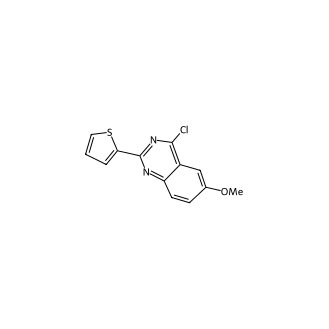 COc1ccc2nc(-c3cccs3)nc(Cl)c2c1